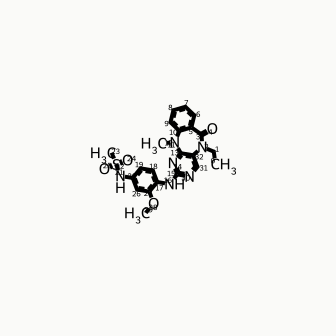 CCN1C(=O)c2ccccc2N(C)c2nc(Nc3ccc(NS(C)(=O)=O)cc3OC)ncc21